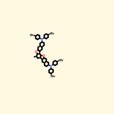 Cc1cc2c3cc4ccc(N(c5ccc(C(C)(C)C)cc5)c5ccc(C(C)(C)C)cc5)cc4cc3oc2c2c1oc1cc3cc(N(c4ccc(C(C)(C)C)cc4)c4ccc(C(C)(C)C)cc4)ccc3cc12